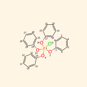 ClP(Oc1ccccc1)(Oc1ccccc1)(Oc1ccccc1)Oc1ccccc1